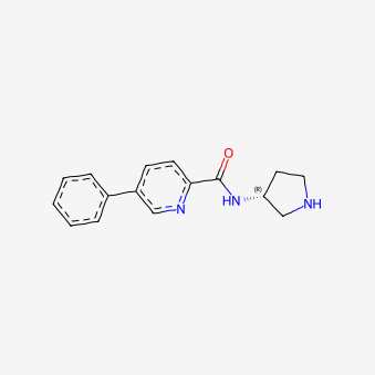 O=C(N[C@@H]1CCNC1)c1ccc(-c2ccccc2)cn1